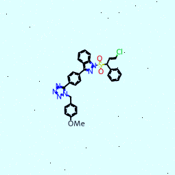 COc1ccc(Cn2nnnc2-c2ccc(-c3nn(S(=O)(=O)C(C=CCl)c4ccccc4)c4ccccc34)cc2)cc1